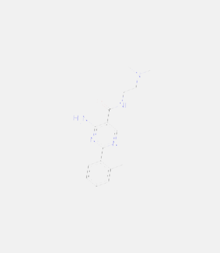 Cc1ccccc1-c1ncc(C(=O)NCCN(C)C)c(N)n1